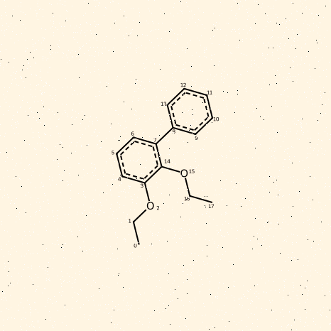 CCOc1cccc(-c2ccccc2)c1OCC